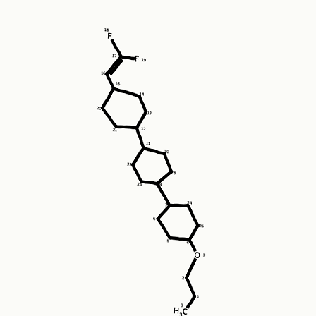 CCCOC1CCC(C2CCC(C3CCC(C=C(F)F)CC3)CC2)CC1